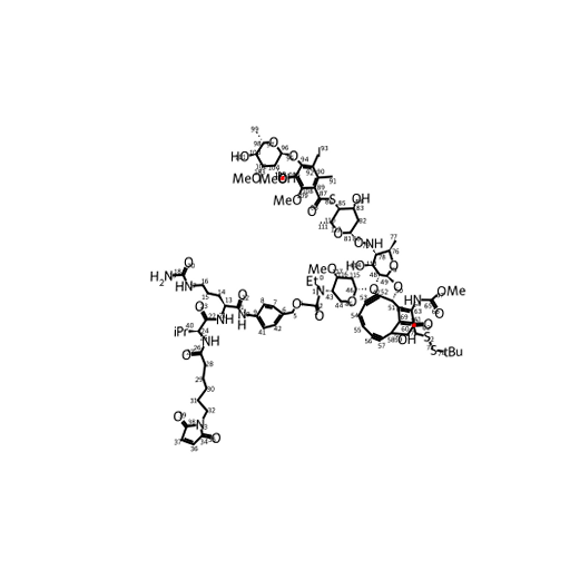 CCN(C(=O)OCc1ccc(NC(=O)[C@H](CCCNC(N)=O)NC(=O)[C@@H](NC(=O)CCCCCN2C(=O)C=CC2=O)C(C)C)cc1)[C@H]1CO[C@@H](O[C@H]2[C@H](O[C@H]3C#CC=CC#C[C@]4(O)CC(=O)C(NC(=O)OC)=C3C4=CCSSC(C)(C)C)O[C@H](C)[C@@H](NO[C@H]3C[C@H](O)[C@H](SC(=O)c4c(C)c(I)c(O[C@@H]5O[C@@H](C)[C@H](O)[C@@H](OC)[C@H]5O)c(OC)c4OC)[C@@H](C)O3)[C@@H]2O)C[C@@H]1OC